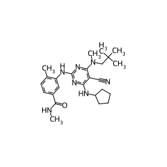 CNC(=O)c1ccc(C)c(Nc2nc(NC3CCCC3)c(C#N)c(N(C)CC(C)(C)C)n2)c1